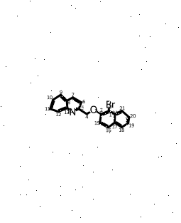 Brc1c(OCc2ccc3ccccc3n2)ccc2ccccc12